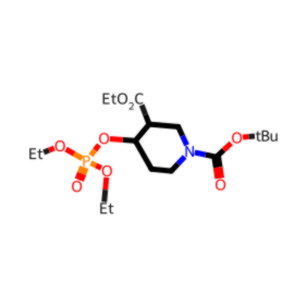 CCOC(=O)C1CN(C(=O)OC(C)(C)C)CCC1OP(=O)(OCC)OCC